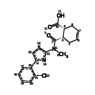 CN(C(=O)[C@H]1CC=CC[C@H]1C(=O)O)c1nc(-c2ccccc2Cl)cs1